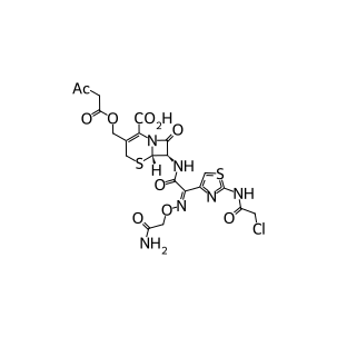 CC(=O)CC(=O)OCC1=C(C(=O)O)N2C(=O)[C@@H](NC(=O)/C(=N\OCC(N)=O)c3csc(NC(=O)CCl)n3)[C@@H]2SC1